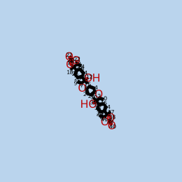 C=C(Oc1ccc(OC(=C)C(C)(O)c2ccc(C3(C)OC(=O)OC3=C)cc2)cc1)C(C)(O)c1ccc(C2(C)OC(=O)OC2=C)cc1